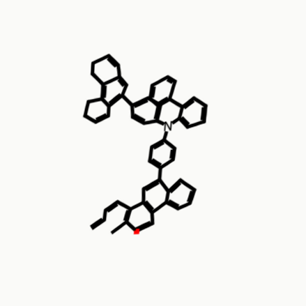 C=C/C=C\C(=C(C)C)c1cc(-c2ccc(N(c3ccc(-c4cc5c(c6c4C=CCC6)CCC=C5)cc3)c3ccccc3-c3ccccc3)cc2)c2ccccc2c1C=C